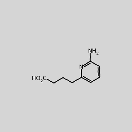 Nc1cccc(CCCC(=O)O)n1